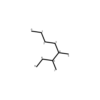 CCCCC(C)C(C)CC